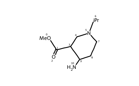 COC(=O)C1CN(C(C)C)CCC1N